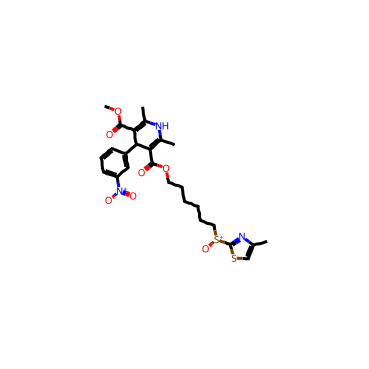 COC(=O)C1=C(C)NC(C)=C(C(=O)OCCCCCC[S+]([O-])c2nc(C)cs2)C1c1cccc([N+](=O)[O-])c1